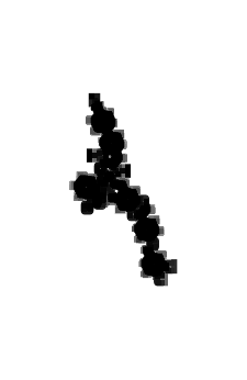 N#Cc1ccc(-c2ccc(CC(NC(=O)[C@@H]3Cc4cc5c(cc4CN3S(=O)(=O)c3ccccc3[N+](=O)[O-])O[C@@H](c3ccc(OCc4ccc(Cl)c(Cl)c4)cc3)CO5)C(=O)O)cc2)cc1